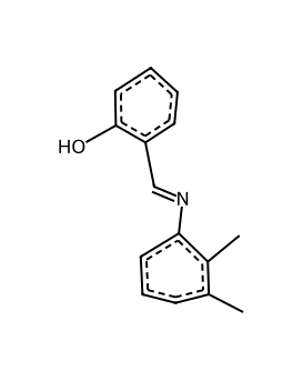 Cc1cccc(/N=C/c2ccccc2O)c1C